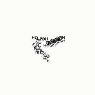 Nc1nc(=O)n([C@H]2C[C@H](O)[C@@H](CO)O2)cc1C#CCNC(=O)CI.O=P(O)(O)O.O=P(O)(O)O.O=P(O)(O)O